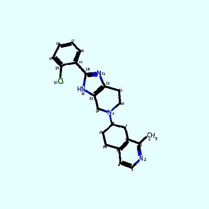 Cc1nccc2c1CC(N1CCc3nc(-c4ccccc4Cl)[nH]c3C1)CC2